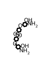 Nc1ccc(Oc2ccc(S(=O)(=O)c3ccc(Oc4ccc(N)c(O)c4)cc3)cc2)cc1O